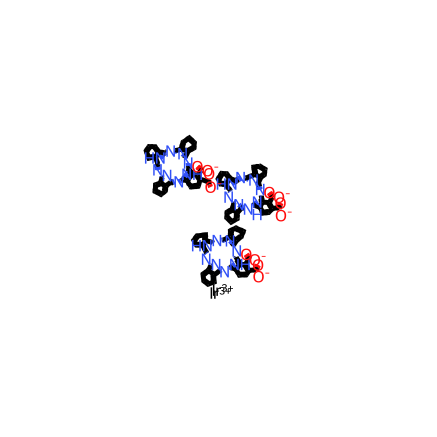 O=C([O-])c1ccc2c3nc4nc(nc5[nH]c(nc6nc(nc([nH]3)c2c1C(=O)[O-])-c1ccccc1-6)c1ccccc51)-c1ccccc1-4.O=C([O-])c1ccc2c3nc4nc(nc5[nH]c(nc6nc(nc([nH]3)c2c1C(=O)[O-])-c1ccccc1-6)c1ccccc51)-c1ccccc1-4.O=C([O-])c1ccc2c3nc4nc(nc5[nH]c(nc6nc(nc([nH]3)c2c1C(=O)[O-])-c1ccccc1-6)c1ccccc51)-c1ccccc1-4.[Ir+3].[Ir+3]